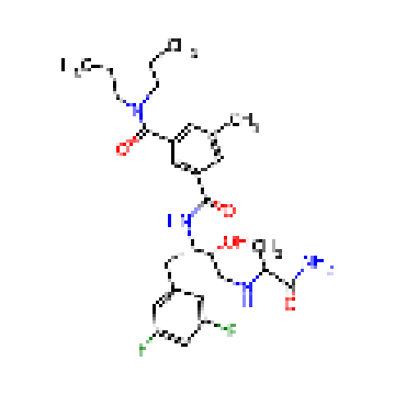 CCCN(CCC)C(=O)c1cc(C)cc(C(=O)N[C@@H](Cc2cc(F)cc(F)c2)[C@H](O)CNC(C)C(N)=O)c1